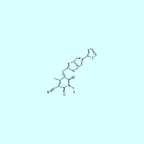 CCN1C(=O)C(C#N)=C(C)/C(=C/c2cc3c(s2)C=C(c2cccs2)C3)C1=O